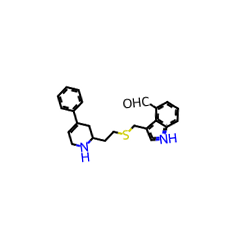 O=Cc1cccc2[nH]cc(CSCCC3CC(c4ccccc4)=CCN3)c12